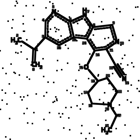 C=C(C)c1cnc2[nH]c3cnc(C#N)c(OC4CCN(CC)CC4)c3c2c1